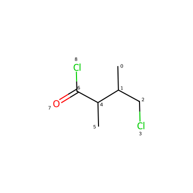 CC(CCl)C(C)C(=O)Cl